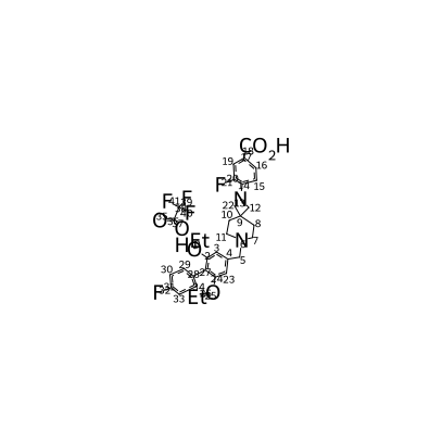 CCOc1cc(CN2CCC3(CC2)CN(c2ccc(C(=O)O)cc2F)C3)cc(OCC)c1-c1ccc(F)cc1.O=C(O)C(F)(F)F